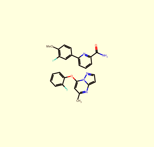 COc1ccc(-c2cccc(C(N)=O)n2)cc1F.Cc1cc(Oc2ccccc2F)n2nccc2n1